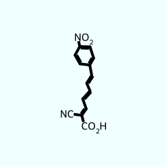 N#C\C(=C/C=C/C=C/c1ccc([N+](=O)[O-])cc1)C(=O)O